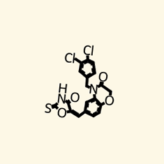 O=C1NC(=S)OC1=Cc1ccc2c(c1)N(Cc1ccc(Cl)c(Cl)c1)C(=O)CO2